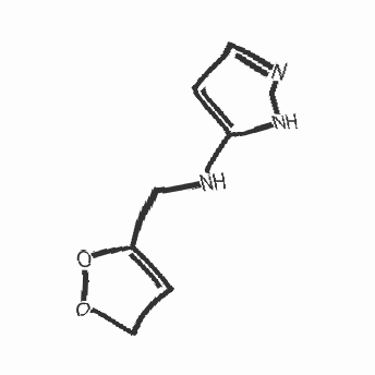 C1=C(CNc2ccn[nH]2)OOC1